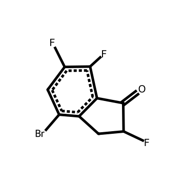 O=C1c2c(F)c(F)cc(Br)c2CC1F